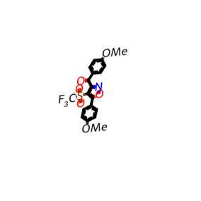 COc1ccc(C(=O)c2noc(-c3ccc(OC)cc3)c2S(=O)(=O)C(F)(F)F)cc1